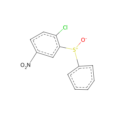 O=[N+]([O-])c1ccc(Cl)c([S+]([O-])c2ccccc2)c1